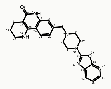 O=c1[nH]c2cc(CN3CCN(c4nc5cccnc5o4)CC3)ccc2c2c1CCCN2